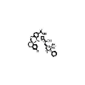 C[C@@H](C/C=C/[C@H](O)[C@@H]1CC[C@H]1CN1C[C@@]2(CCCc3cc(Cl)ccc32)COc2ccc(C(=O)O)cc21)[C@H](c1ccccc1)S(N)(=O)=O